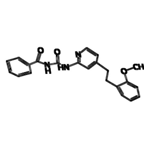 COc1ccccc1CCc1ccnc(NC(=O)NC(=O)c2ccccc2)c1